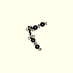 COC(=O)C(CCCNC(=O)c1ccc(/N=N/c2ccc(N(C)C)cc2)cc1)NC(=O)c1ccc(/N=N/c2ccc(N(C)C)cc2)cc1